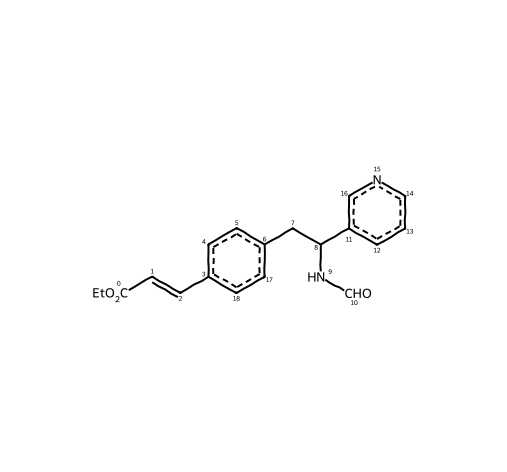 CCOC(=O)C=Cc1ccc(CC(NC=O)c2cccnc2)cc1